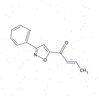 C/C=C/C(=O)c1cc(-c2ccccc2)no1